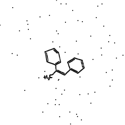 [CH2]C(=Cc1ccccc1)c1ccccc1